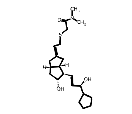 CN(C)C(=O)CSCC=C1C[C@H]2C[C@@H](O)[C@H](C=C[C@@H](O)C3CCCC3)[C@H]2C1